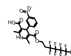 CC1=C(C(=O)O)C(c2cccc([N+](=O)[O-])c2)C(C(=O)OCCC(F)(F)C(F)(F)C(F)(F)C(F)(F)F)=C(C)N1